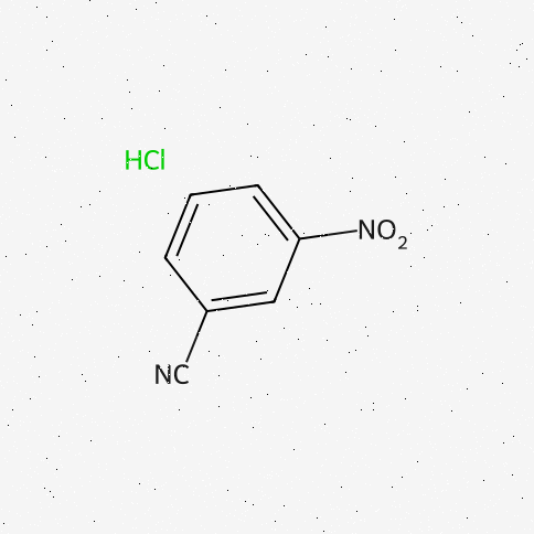 Cl.N#Cc1cccc([N+](=O)[O-])c1